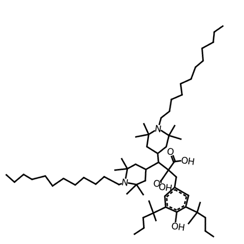 CCCCCCCCCCCCN1C(C)(C)CC(C(C2CC(C)(C)N(CCCCCCCCCCCC)C(C)(C)C2)C(Cc2cc(C(C)(C)CCC)c(O)c(C(C)(C)CCC)c2)(C(=O)O)C(=O)O)CC1(C)C